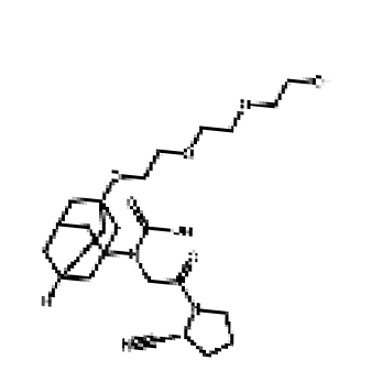 N#C[C@@H]1CCCN1C(=O)CN(C(=O)O)C12CC3C[C@H](CC(OCCOCCOCCO)(C3)C1)C2